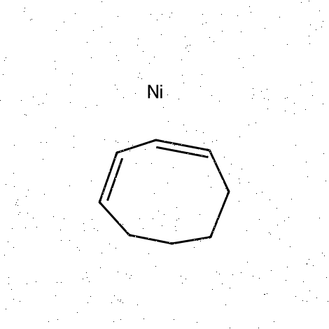 C1=CCCCCC=C1.[Ni]